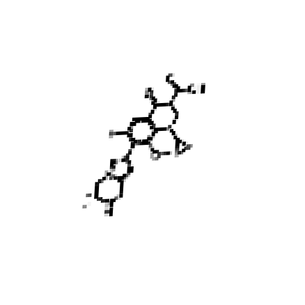 COc1c(-c2cc3n(c2)C[C@@H](C)NC3)c(F)cc2c1N(C1CC1)CC(C(=O)O)C2=O